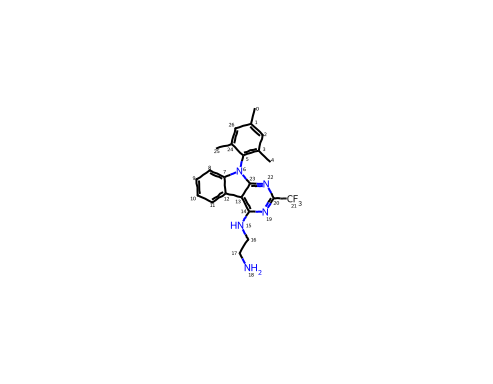 Cc1cc(C)c(-n2c3ccccc3c3c(NCCN)nc(C(F)(F)F)nc32)c(C)c1